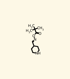 CC(C)(C)C(=O)ON=CC1CCNCC1